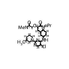 CCCn1c(=O)c(OCC(=O)NC)cc2cc(Nc3nc(N4CCCC(C)C4)ncc3Cl)ccc21